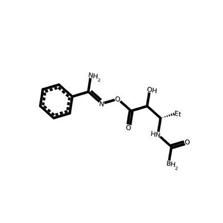 BC(=O)N[C@@H](CC)C(O)C(=O)O/N=C(\N)c1ccccc1